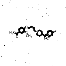 COc1cc(C(C)=O)ccc1OC/C=C\CN1CCC(c2noc3cc(F)ccc23)CC1